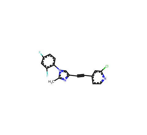 Cc1nc(C#Cc2ccnc(Cl)c2)cn1-c1ccc(F)cc1F